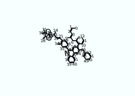 C/C=C\C=C(/C)C/C(C)=C(/C=C\C)c1cc2c(-c3ccc(/C=C/C(C)B4OC(C)C(C)(C)O4)c(C)c3)nc3ccccc3c2cc1CC1=CCCC=C1